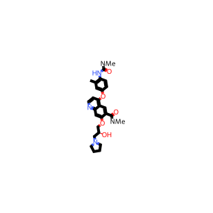 CNC(=O)Nc1ccc(Oc2ccnc3cc(OC[C@H](O)CN4CCCC4)c(C(=O)NC)cc23)cc1C